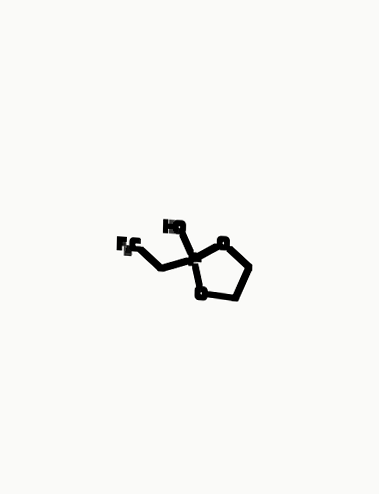 O[P]1(CC(F)(F)F)OCCO1